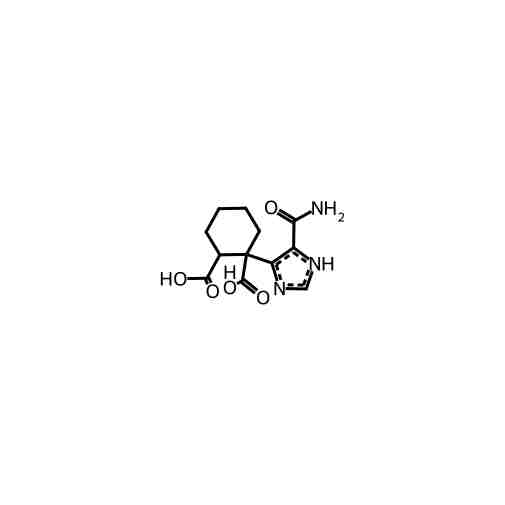 NC(=O)c1[nH]cnc1C1(C(=O)O)CCCCC1C(=O)O